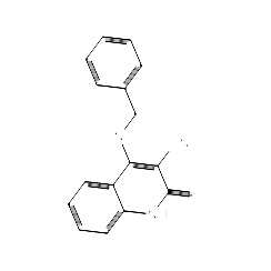 N#Cc1c(NCc2ccccc2)c2ccccc2[nH]c1=O